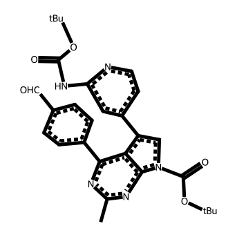 Cc1nc(-c2ccc(C=O)cc2)c2c(-c3ccnc(NC(=O)OC(C)(C)C)c3)cn(C(=O)OC(C)(C)C)c2n1